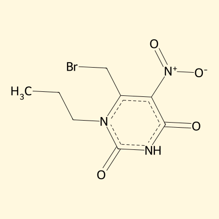 CCCn1c(CBr)c([N+](=O)[O-])c(=O)[nH]c1=O